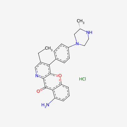 CCc1cnc2c(=O)c3c(N)cccc3oc2c1-c1ccc(N2CCN[C@@H](C)C2)cc1.Cl